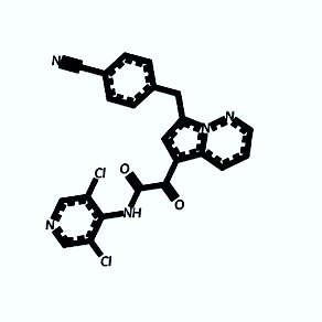 N#Cc1ccc(Cc2cc(C(=O)C(=O)Nc3c(Cl)cncc3Cl)c3cccnn23)cc1